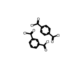 O=C(Cl)c1ccc(C(=O)Cl)cc1.O=C(Cl)c1cccc(C(=O)Cl)c1